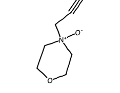 C#CC[N+]1([O-])CCOCC1